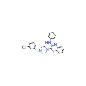 Clc1cccc(CN2CCN(c3nc4ccccc4nc3Nc3ccccc3)CC2)c1